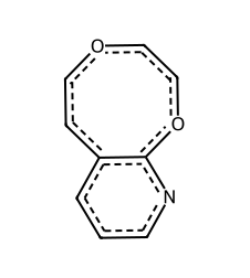 c1cnc2occoccc2c1